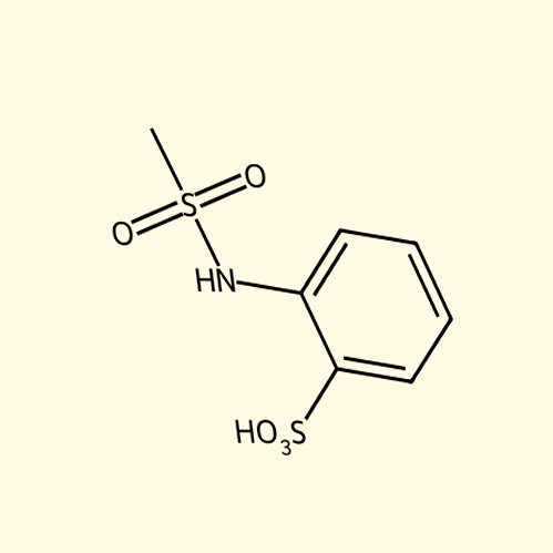 CS(=O)(=O)Nc1ccccc1S(=O)(=O)O